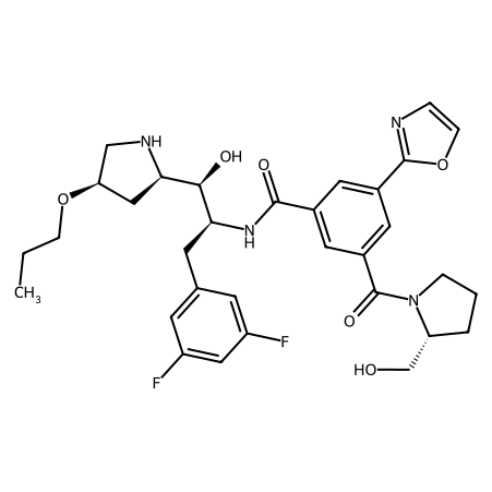 CCCO[C@H]1CN[C@@H]([C@@H](O)[C@H](Cc2cc(F)cc(F)c2)NC(=O)c2cc(C(=O)N3CCC[C@@H]3CO)cc(-c3ncco3)c2)C1